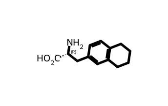 N[C@H](Cc1ccc2c(c1)CCCC2)C(=O)O